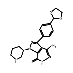 Nc1n[nH]c(=O)c2c1c(-c1ccc(C3OCCO3)cc1)nn2[C@@H]1CCCNC1